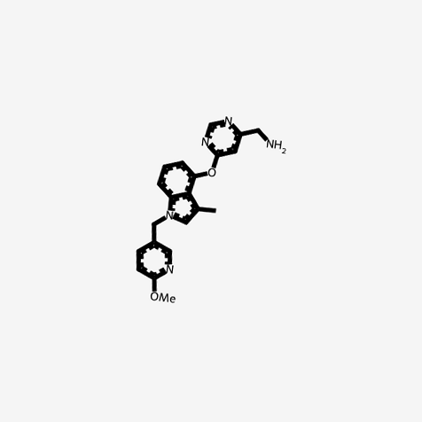 COc1ccc(Cn2cc(C)c3c(Oc4cc(CN)ncn4)cccc32)cn1